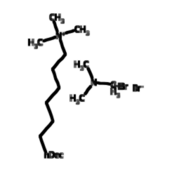 Br.CCCCCCCCCCCCCCCC[N+](C)(C)C.CN(C)C.[Br-]